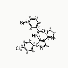 O=C(Nc1c(C2=NCCO2)cnn1-c1ccc(Cl)cc1)c1cccc(Br)c1